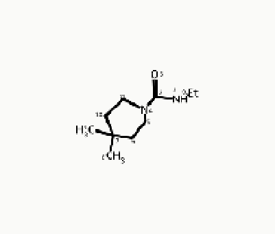 CCNC(=O)N1CCC(C)(C)CC1